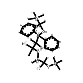 CCC(C)(O[Si](C)(C)C)[SiH](C)OC(C)(S)C(C)(CC)[Si](OC(C)(C)[Si](C)(C)C)(c1ccccc1)c1ccccc1